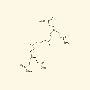 COC(=O)CCN(CCC(=O)OC)CCN(C)CCCN(C)CCN(CCC(=O)OC)CCC(=O)OC